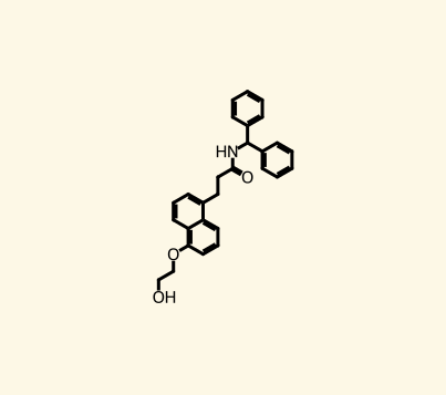 O=C(CCc1cccc2c(OCCO)cccc12)NC(c1ccccc1)c1ccccc1